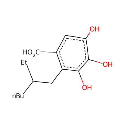 CCCCC(CC)Cc1c(C(=O)O)cc(O)c(O)c1O